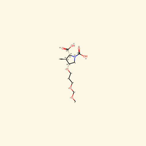 COCOCCCO[C@H]1CN(C(=O)O)[C@@H](C(=O)O)[C@@H]1C